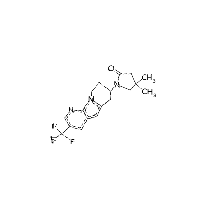 CC1(C)CC(=O)N(C2CCn3c(cc4cc(C(F)(F)F)cnc43)C2)C1